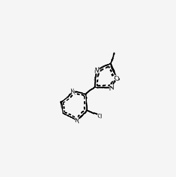 Cc1nc(-c2nccnc2Cl)no1